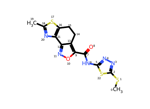 CSc1nnc(NC(=O)c2onc3c2CCc2sc(C)nc2-3)s1